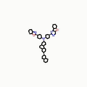 c1ccc2cc(-c3ccc4c(ccc5cc(N(c6ccc(-c7ncc8oc9ccccc9c8n7)cc6)c6ccc(-c7nc8ccccc8o7)cc6)ccc54)c3)ccc2c1